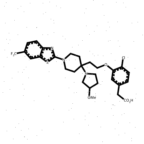 COC1CCN(C2(CCOc3cc(CC(=O)O)ccc3Cl)CCN(c3nc4ccc(C(F)(F)F)cc4s3)CC2)C1